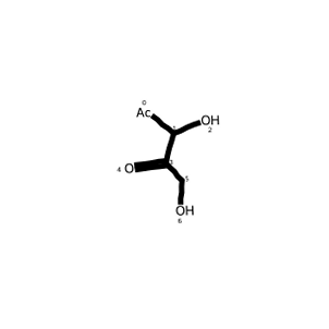 CC(=O)C(O)C(=O)CO